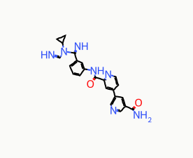 N=CN(C(=N)c1cccc(NC(=O)c2cc(-c3cncc(C(N)=O)c3)ccn2)c1)C1CC1